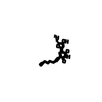 [2H]C[C@H]1O[C@@H](n2cc(C#CCCCCC#C)c(=O)[nH]c2=O)C[C@H]1O